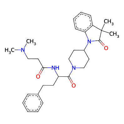 CN(C)CCC(=O)NC(CCc1ccccc1)C(=O)N1CCC(N2C(=O)C(C)(C)c3ccccc32)CC1